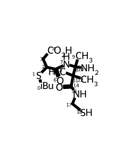 CCC(C)SC(CC(=O)O)C(=O)NC(C)(N)C(C)(C)C(=O)NCS